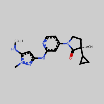 Cn1nc(Nc2cc(N3CC[C@@](C#N)(C4CC4)C3=O)ccn2)cc1NC(=O)O